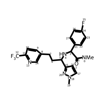 CNC(=O)C(NC(CCc1ccc(C(F)(F)F)nc1)c1ccn(C)n1)c1ccc(F)cc1